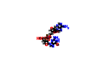 Nc1nc2c(ncn2[C@@H]2OC[C@](F)(CCO)[C@H]2OP(O)(=S)OCC[C@@]23CO[C@@H]([C@H](n4cnc5c(N)ncnc54)O2)[C@@H]3O)c(=O)[nH]1